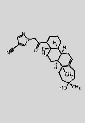 C[C@]1(O)CCC2=CC[C@H]3[C@@H]4CCC[C@H](C(=O)Cn5cc(C#N)cn5)[C@@]4(C)CC[C@@H]3[C@@]2(C)CC1